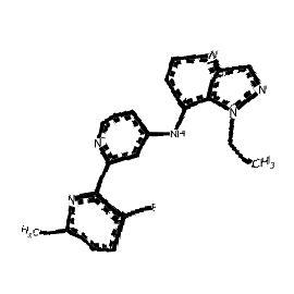 CCn1ncc2nccc(Nc3ccnc(-c4nc(C)ccc4F)c3)c21